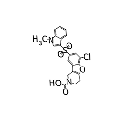 Cn1cc(S(=O)(=O)c2cc(Cl)c3oc4c(c3c2)CN(C(=O)O)CC4)c2ccccc21